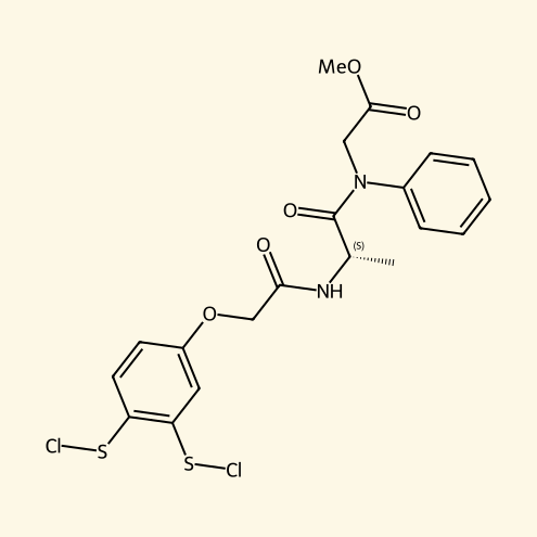 COC(=O)CN(C(=O)[C@H](C)NC(=O)COc1ccc(SCl)c(SCl)c1)c1ccccc1